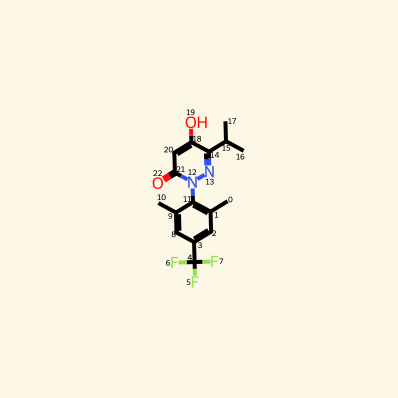 Cc1cc(C(F)(F)F)cc(C)c1-n1nc(C(C)C)c(O)cc1=O